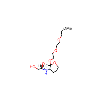 COCCOCCOCCOC1(C(=O)O)OCCCC1NC(=O)CO